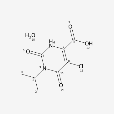 CC(C)n1c(=O)[nH]c(C(=O)O)c(Cl)c1=O.O